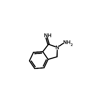 N=C1c2ccccc2CN1N